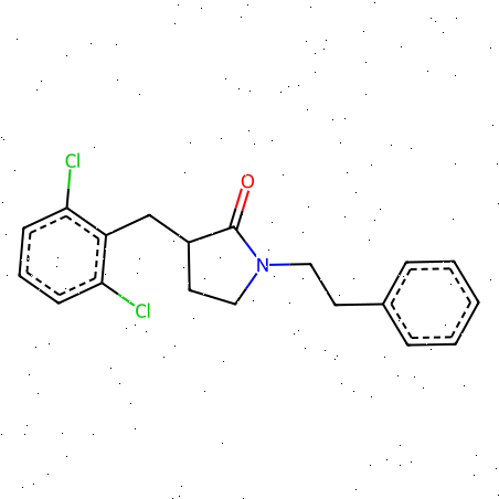 O=C1C(Cc2c(Cl)cccc2Cl)CCN1CCc1ccccc1